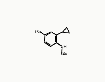 CC(C)(C)Nc1ccc(C(C)(C)C)cc1C1CC1